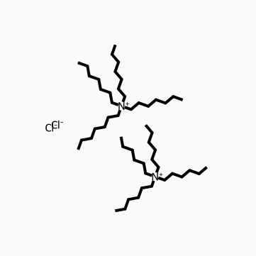 CCCCCCC[N+](CCCCCCC)(CCCCCCC)CCCCCCC.CCCCCC[N+](CCCCCC)(CCCCCC)CCCCCC.[Cl-].[Cl-]